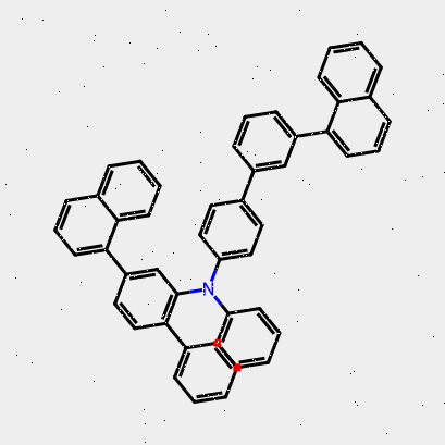 c1ccc(-c2ccc(-c3cccc4ccccc34)cc2N(c2ccccc2)c2ccc(-c3cccc(-c4cccc5ccccc45)c3)cc2)cc1